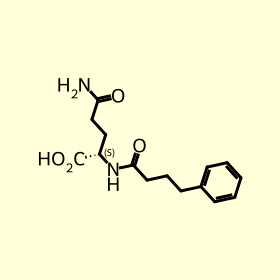 NC(=O)CC[C@H](NC(=O)CCCc1ccccc1)C(=O)O